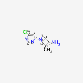 C=C1C(N)C2CN(c3cc(Cl)ncn3)C12